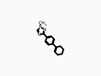 Cn1cnc(-c2ccc(C3=CCCCC3)cc2)n1